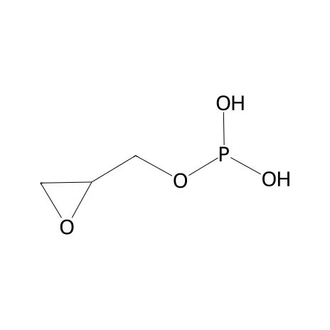 OP(O)OCC1CO1